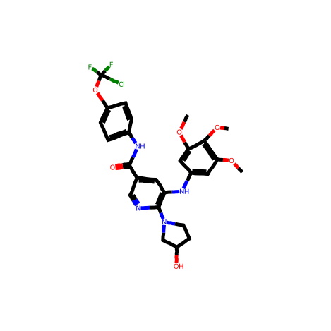 COc1cc(Nc2cc(C(=O)Nc3ccc(OC(F)(F)Cl)cc3)cnc2N2CCC(O)C2)cc(OC)c1OC